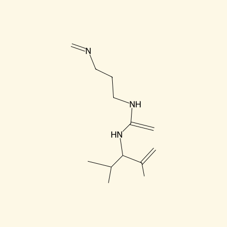 C=NCCCNC(=C)NC(C(=C)C)C(C)C